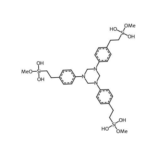 CO[Si](O)(O)CCc1ccc(N2CN(c3ccc(CC[Si](O)(O)OC)cc3)CN(c3ccc(CC[Si](O)(O)OC)cc3)C2)cc1